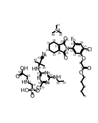 CCCCCOC(=O)COc1cc(N2C(=O)C3=C(CCCC3)C2=O)c(F)cc1Cl.CCNc1nc(Cl)nc(NC(C)(C)C#N)n1.C[S+](C)C.O=C(O)CNCP(=O)([O-])O